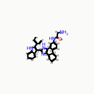 C=C/C(=C\C)c1[nH]c2ccccc2c1-c1nc2c3ccccc3c3ccc(NC(=O)CN)cc3c2[nH]1